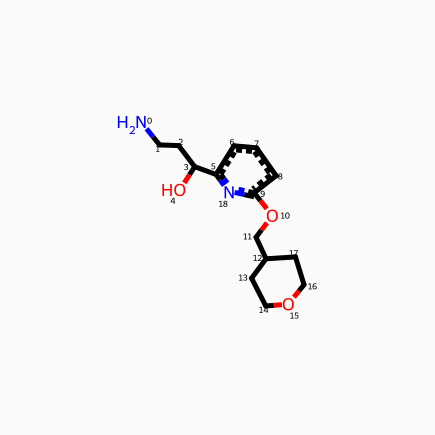 NCCC(O)c1cccc(OCC2CCOCC2)n1